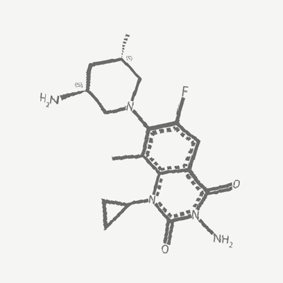 Cc1c(N2C[C@@H](C)C[C@H](N)C2)c(F)cc2c(=O)n(N)c(=O)n(C3CC3)c12